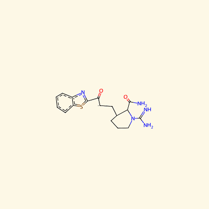 N=C(N)N1CCCC(C[CH]C(=O)c2nc3ccccc3s2)C1C(N)=O